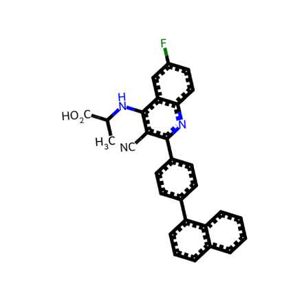 CC(Nc1c(C#N)c(-c2ccc(-c3cccc4ccccc34)cc2)nc2ccc(F)cc12)C(=O)O